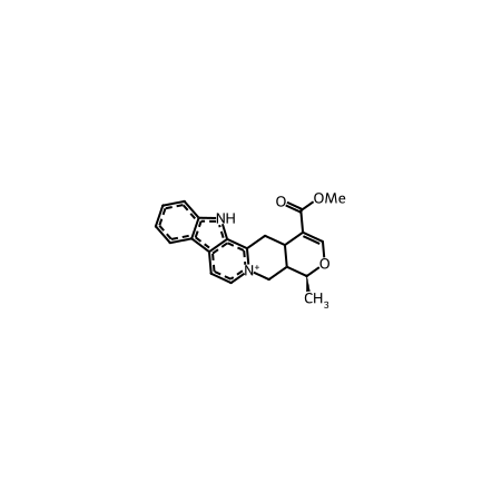 COC(=O)C1=CO[C@@H](C)C2C[n+]3ccc4c([nH]c5ccccc54)c3CC12